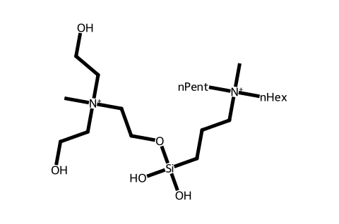 CCCCCC[N+](C)(CCCCC)CCC[Si](O)(O)OCC[N+](C)(CCO)CCO